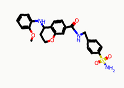 COc1ccccc1NC1CCOc2cc(C(=O)NCc3ccc(S(N)(=O)=O)cc3)ccc21